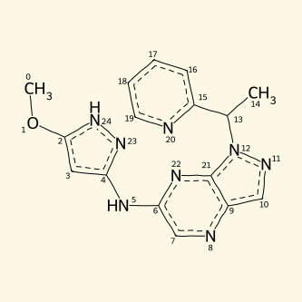 COc1cc(Nc2cnc3cnn(C(C)c4ccccn4)c3n2)n[nH]1